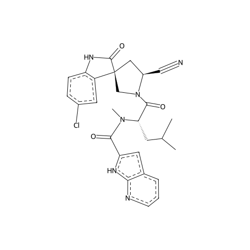 CC(C)C[C@@H](C(=O)N1C[C@]2(C[C@H]1C#N)C(=O)Nc1ccc(Cl)cc12)N(C)C(=O)c1cc2cccnc2[nH]1